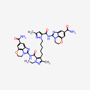 CCn1nc(C)c(CCCCCn2nc(C)cc2C(=O)Nc2nc3cc(C(N)=O)cc4c3n2CCO4)c1C(=O)Nc1nc2cc(C(N)=O)cc3c2n1CCO3